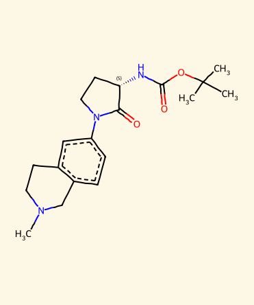 CN1CCc2cc(N3CC[C@H](NC(=O)OC(C)(C)C)C3=O)ccc2C1